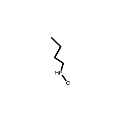 CCCCPCl